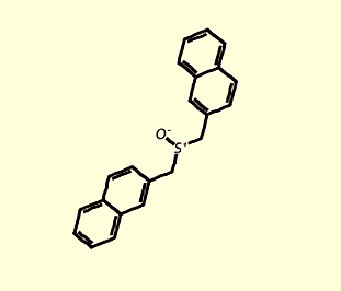 [O-][S+](Cc1ccc2ccccc2c1)Cc1ccc2ccccc2c1